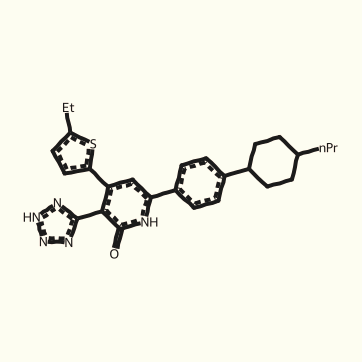 CCCC1CCC(c2ccc(-c3cc(-c4ccc(CC)s4)c(-c4nn[nH]n4)c(=O)[nH]3)cc2)CC1